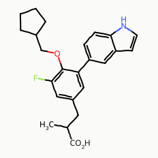 CC(Cc1cc(F)c(OCC2CCCC2)c(-c2ccc3[nH]ccc3c2)c1)C(=O)O